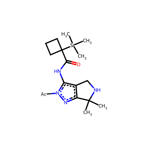 CC(=O)n1nc2c(c1NC(=O)C1([Si](C)(C)C)CCC1)CNC2(C)C